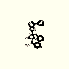 C[C@H](c1ccc(F)cc1)N1C(=O)O[C@](Cc2ccccc2)(c2nc3c(-c4cccnc4)cccc3[nH]2)C1=O